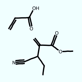 C=C(C(=O)OC)C(C#N)CC.C=CC(=O)O